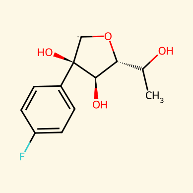 CC(O)[C@H]1O[CH][C@@](O)(c2ccc(F)cc2)[C@@H]1O